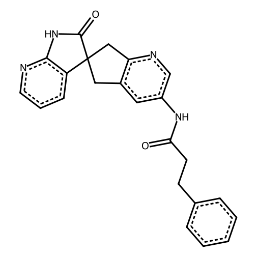 O=C(CCc1ccccc1)Nc1cnc2c(c1)CC1(C2)C(=O)Nc2ncccc21